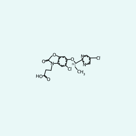 CC[C@H](Oc1cc2c(cc1Cl)N(CCC(=O)O)C(=O)CO2)c1ncc(Cl)cn1